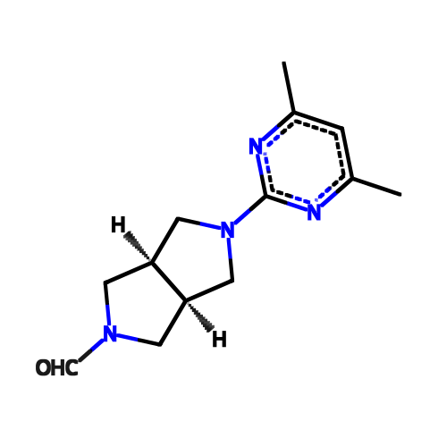 Cc1cc(C)nc(N2C[C@H]3CN(C=O)C[C@H]3C2)n1